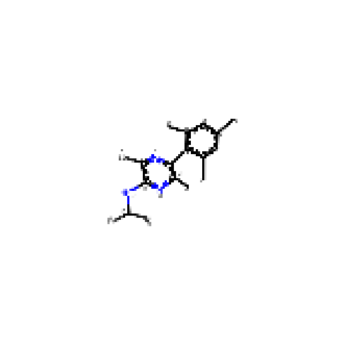 CCc1nc(-c2c(C)cc(C)cc2C)c(C)nc1NC(CC)CC